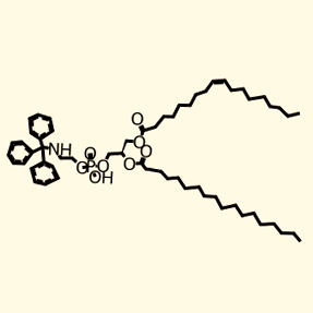 CCCCCCCC/C=C\CCCCCCCC(=O)OC[C@H](COP(=O)(O)OCCNC(c1ccccc1)(c1ccccc1)c1ccccc1)OC(=O)CCCCCCCCCCCCCCCCC